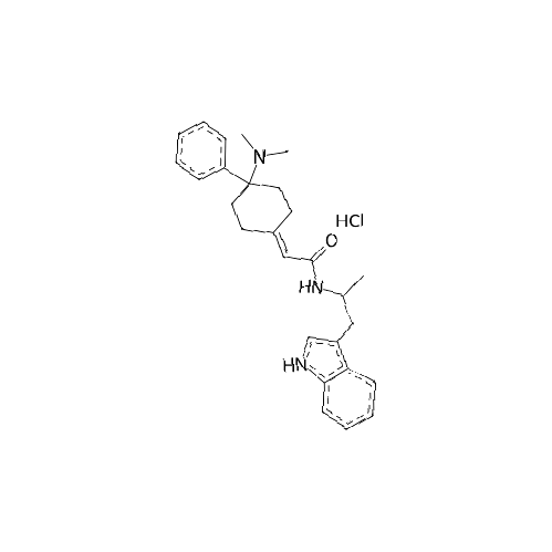 CC(Cc1c[nH]c2ccccc12)NC(=O)C=C1CCC(c2ccccc2)(N(C)C)CC1.Cl